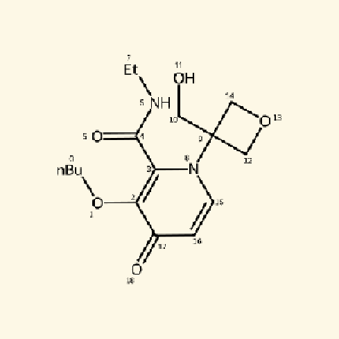 CCCCOc1c(C(=O)NCC)n(C2(CO)COC2)ccc1=O